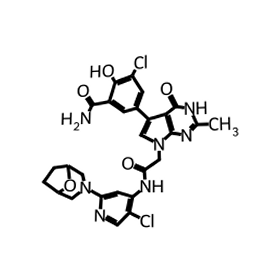 Cc1nc2c(c(-c3cc(Cl)c(O)c(C(N)=O)c3)cn2CC(=O)Nc2cc(N3CC4CCC(C3)O4)ncc2Cl)c(=O)[nH]1